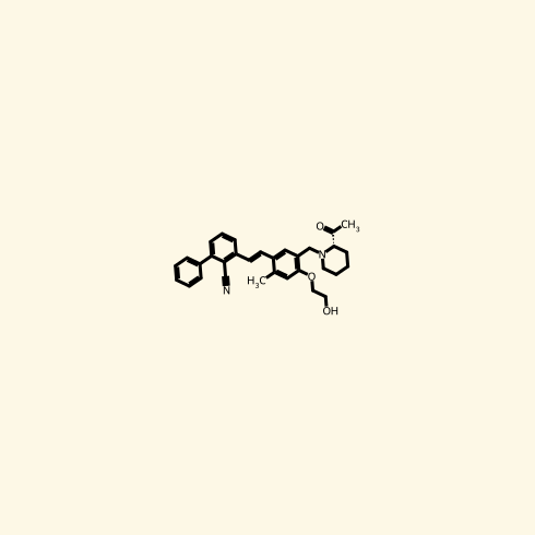 CC(=O)[C@@H]1CCCCN1Cc1cc(/C=C/c2cccc(-c3ccccc3)c2C#N)c(C)cc1OCCO